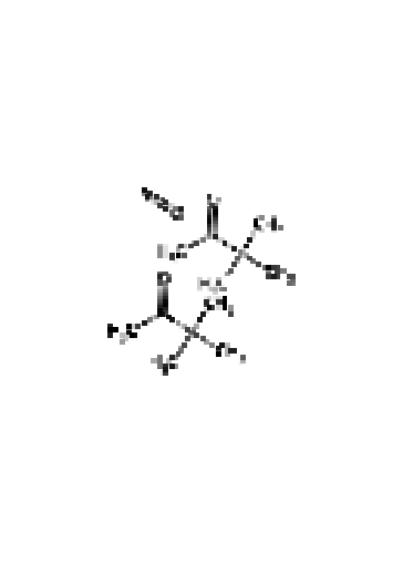 CC(=O)C(C)(C)C.CC(=O)C(C)(C)C.[O]=[V]